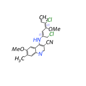 C=C/C(Cl)=C(\C=C(/CCl)Nc1c(C#N)cnc2cc(C)c(OC)cc12)OC